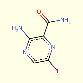 NC(=O)c1nc(I)cnc1N